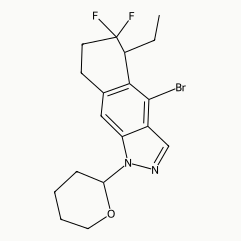 CCC1c2c(cc3c(cnn3C3CCCCO3)c2Br)CCC1(F)F